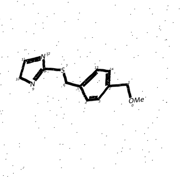 COCc1ccc(CSC2=NCC=N2)cc1